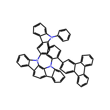 c1ccc(-n2c3ccccc3c3cc(-n4c5ccccc5c5ccc6c7ccccc7n(-c7ccccc7-c7ccc8c9ccccc9c9ccccc9c8c7)c6c54)ccc32)cc1